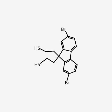 SCCC1(CCS)c2cc(Br)ccc2-c2ccc(Br)cc21